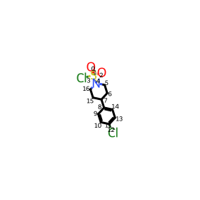 O=S(=O)(Cl)N1CCC(c2ccc(Cl)cc2)CC1